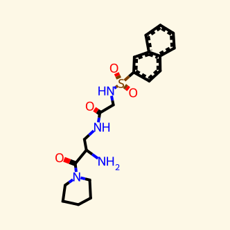 NC(CNC(=O)CNS(=O)(=O)c1ccc2ccccc2c1)C(=O)N1CCCCC1